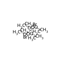 CC(C)CCOc1cc(C=Cc2cc(OCCC(C)C)c(Br)cc2OCCC(C)C)c(OCCC(C)C)cc1Br